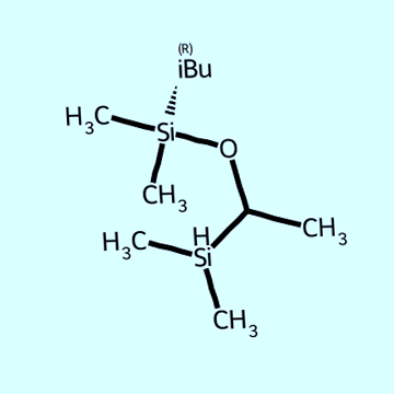 CC[C@@H](C)[Si](C)(C)OC(C)[SiH](C)C